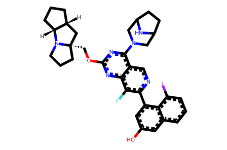 Oc1cc(-c2ncc3c(N4CC5CCC(C4)N5)nc(OC[C@]45CCCN4[C@@H]4CCC[C@@H]4C5)nc3c2F)c2c(I)cccc2c1